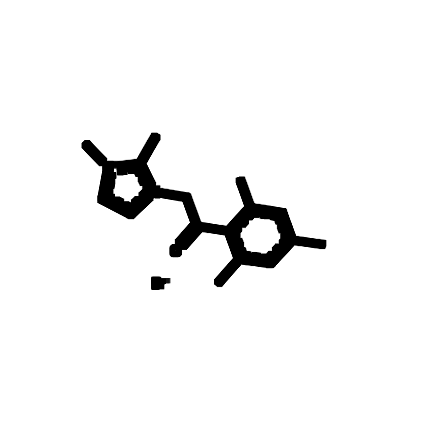 Cc1cc(C)c(C(=O)Cn2cc[n+](C)c2C)c(C)c1.[Br-]